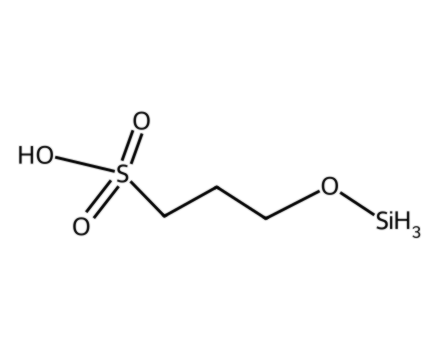 O=S(=O)(O)CCCO[SiH3]